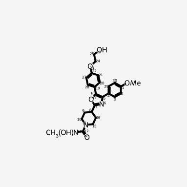 COc1ccc(-c2nc(C3CCN(C(=O)N(C)O)CC3)oc2-c2ccc(OCCO)cc2)cc1